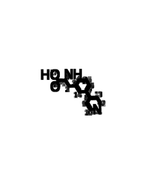 N[C@@H](Cc1cccc(-c2ccncc2)c1)C(=O)O